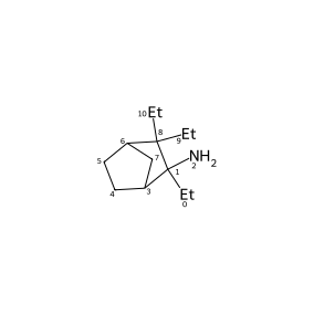 CCC1(N)C2CCC(C2)C1(CC)CC